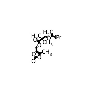 C=C(OCC(C)(C)C(=O)OCc1oc(=O)oc1C)C(C)C